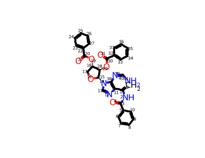 C=C(NC(=O)c1ccccc1)c1ncn([C@@H]2OC[C@H](OC(=O)c3ccccc3)[C@H]2OC(=O)c2ccccc2)c1/N=C\N